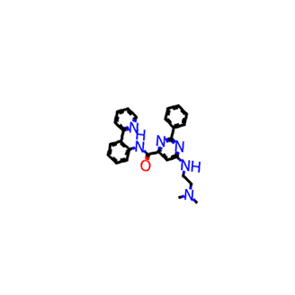 CN(C)CCNc1cc(C(=O)Nc2ccccc2-c2ccccn2)nc(-c2ccccc2)n1